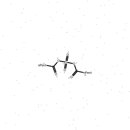 CCCCCC(=O)OS(=O)(=O)OC(=O)CCCCC